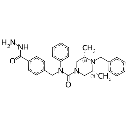 C[C@@H]1CN(C(=O)N(Cc2ccc(C(=O)NN)cc2)c2ccccc2)C[C@H](C)N1Cc1ccccc1